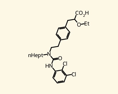 CCCCCCCN(CCc1ccc(CC(OCC)C(=O)O)cc1)C(=O)Nc1cccc(Cl)c1Cl